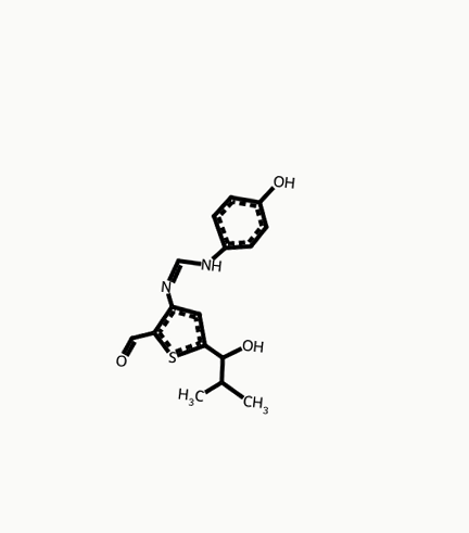 CC(C)C(O)c1cc(/N=C\Nc2ccc(O)cc2)c(C=O)s1